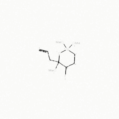 C=CCC1(OC)O[Si](OC)(OC)CCC1F